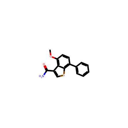 COc1ccc(-c2ccccc2)c2s[c]c(C(N)=O)c12